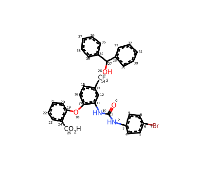 O=C(Nc1ccc(Br)cc1)Nc1cc(C(F)(F)F)ccc1Oc1ccccc1C(=O)O.OC(c1ccccc1)c1ccccc1